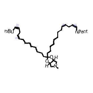 CCCC/C=C\C/C=C\CCCCCCCCC1(CCCCCCCC/C=C\C/C=C\CCCCC)O[C@H]2CN(C)C[C@H]2O1